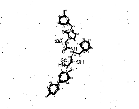 Cc1ccc(-c2ccc(C[C@H](NC(=O)O)[C@@H](O)C[C@H](Cc3ccccc3)NC(=O)[C@@H](N3CCN(Cc4cccc(C)n4)C3=O)C(C)(C)C)cc2)cn1